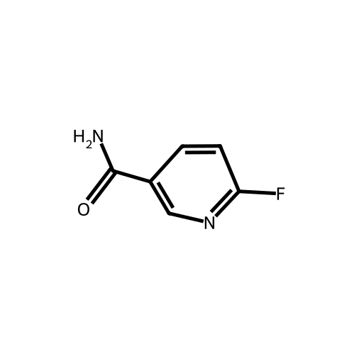 NC(=O)c1ccc(F)nc1